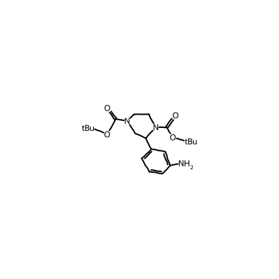 CC(C)(C)OC(=O)N1CCN(C(=O)OC(C)(C)C)C(c2cccc(N)c2)C1